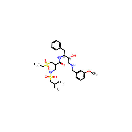 CCS(=O)(=O)CC(CNS(=O)(=O)CC(C)C)C(=O)N[C@@H](Cc1ccccc1)[C@H](O)CNCc1cccc(OC)c1